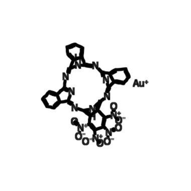 O=[N+]([O-])c1c([N+](=O)[O-])c([N+](=O)[O-])c2c3nc4nc(nc5[nH]c(nc6nc(nc([nH]3)c2c1[N+](=O)[O-])-c1ccccc1-6)c1ccccc51)-c1ccccc1-4.[Au+]